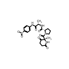 C[C@H](NC(=O)[C@@H]1CCCN1C(=O)[C@]1(C)NC(=O)CCC1=O)C(=O)Nc1ccc([N+](=O)[O-])cc1